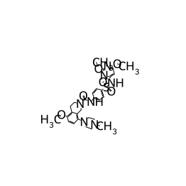 COc1cc(NS(=O)(=O)c2ccc(NC(=O)N3CCc4c(OC)ccc(N5CCN(C)CC5)c4C3)cc2)nc(OC)n1